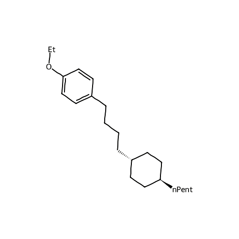 CCCCC[C@H]1CC[C@H](CCCCc2ccc(OCC)cc2)CC1